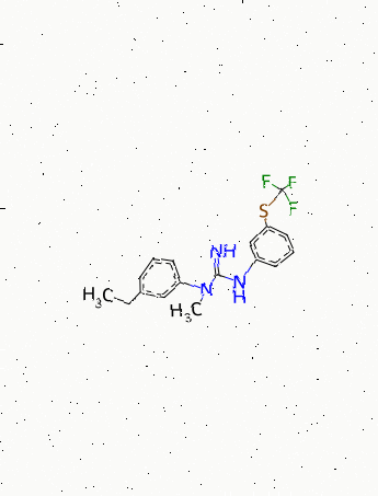 CCc1cccc(N(C)C(=N)Nc2cccc(SC(F)(F)F)c2)c1